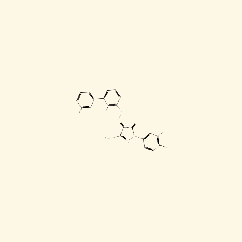 COC1=NN(c2ccc(C)c(C)c2)C(=O)C1=NNc1cccc(-c2cccc(C(=O)O)c2)c1O